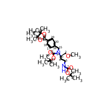 COC[C@@H](CCNC(=O)OC(C)(C)C)N(Cc1ccc(B2OC(C)(C)C(C)(C)O2)cc1)C(=O)OC(C)(C)C